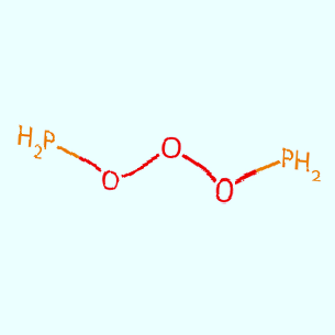 POOOP